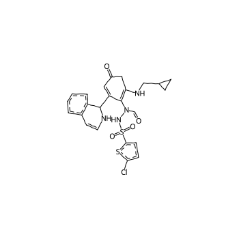 O=CN(NS(=O)(=O)c1ccc(Cl)s1)C1=C(NCC2CC2)CC(=O)C=C1C1NC=Cc2ccccc21